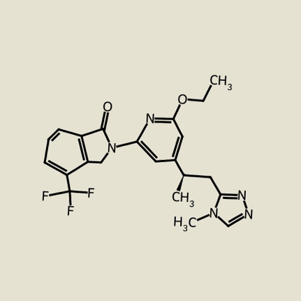 CCOc1cc([C@H](C)Cc2nncn2C)cc(N2Cc3c(cccc3C(F)(F)F)C2=O)n1